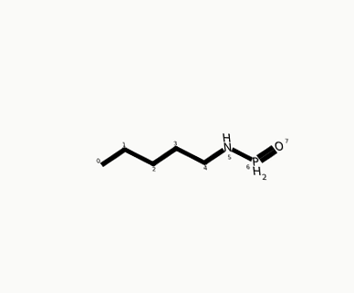 CCCCCN[PH2]=O